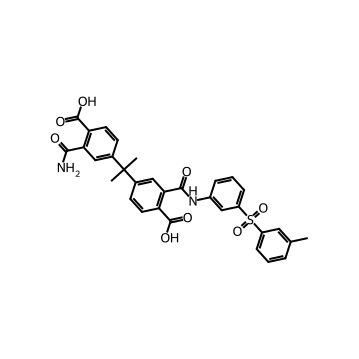 Cc1cccc(S(=O)(=O)c2cccc(NC(=O)c3cc(C(C)(C)c4ccc(C(=O)O)c(C(N)=O)c4)ccc3C(=O)O)c2)c1